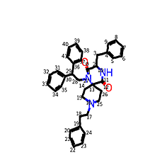 O=C1C(Cc2ccccc2)NC(=O)C2(CCN(CCc3ccccc3)CC2)N1CC(c1ccccc1)c1ccccc1